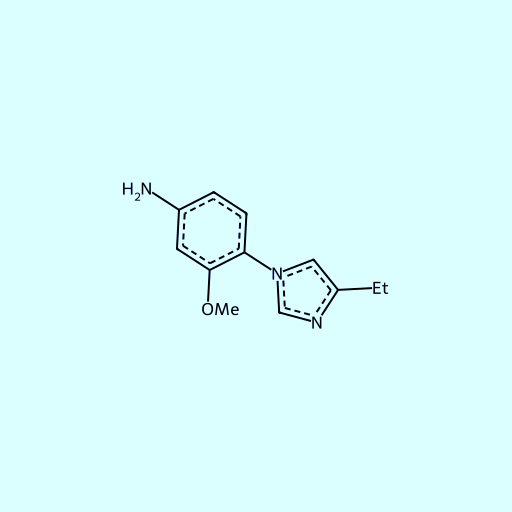 CCc1cn(-c2ccc(N)cc2OC)cn1